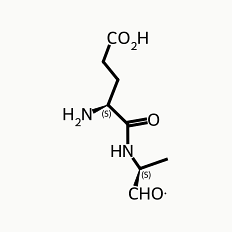 C[C@@H]([C]=O)NC(=O)[C@@H](N)CCC(=O)O